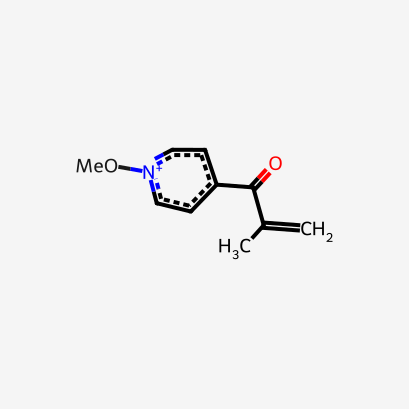 C=C(C)C(=O)c1cc[n+](OC)cc1